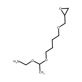 CC(OC[SiH3])OCCCCOCC1CO1